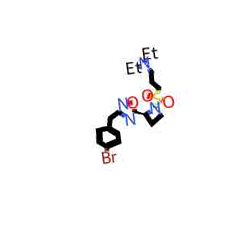 CCN(CC)CCCS(=O)(=O)N1CC[C@H]1c1nc(Cc2ccc(Br)cc2)no1